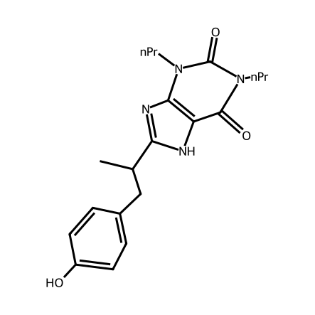 CCCn1c(=O)c2[nH]c(C(C)Cc3ccc(O)cc3)nc2n(CCC)c1=O